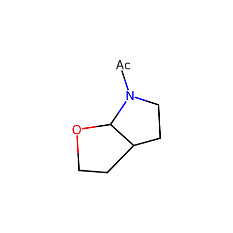 CC(=O)N1CCC2CCOC21